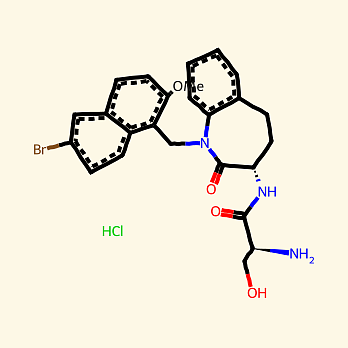 COc1ccc2cc(Br)ccc2c1CN1C(=O)[C@@H](NC(=O)[C@@H](N)CO)CCc2ccccc21.Cl